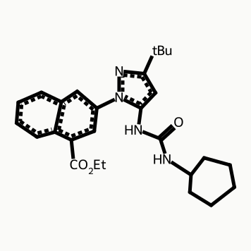 CCOC(=O)c1cc(-n2nc(C(C)(C)C)cc2NC(=O)NC2CCCCC2)cc2ccccc12